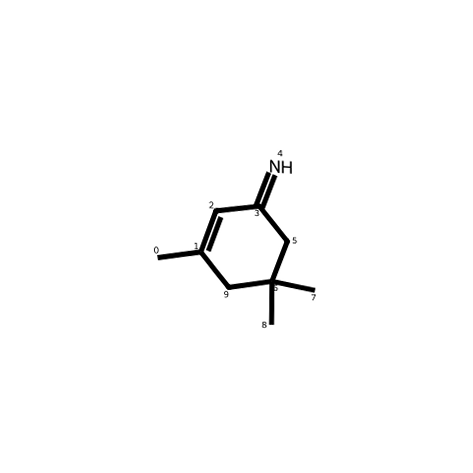 CC1=CC(=N)CC(C)(C)C1